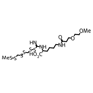 COCCOCCC(=O)NCCCC[C@H](NC(=N)SSCSSCSSC)C(=O)O